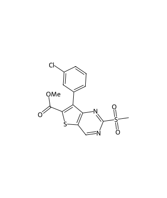 COC(=O)c1sc2cnc(S(C)(=O)=O)nc2c1-c1cccc(Cl)c1